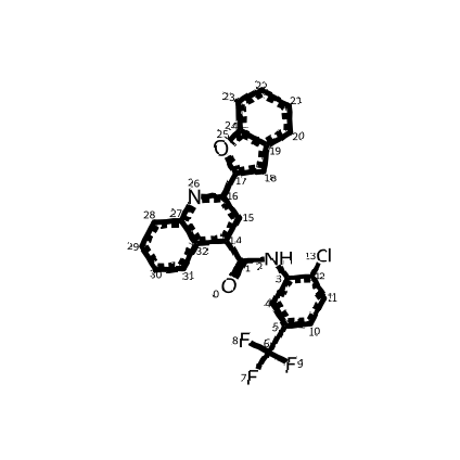 O=C(Nc1cc(C(F)(F)F)ccc1Cl)c1cc(-c2cc3ccccc3o2)nc2ccccc12